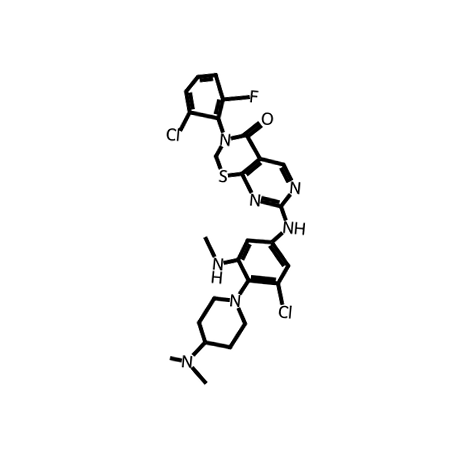 CNc1cc(Nc2ncc3c(n2)SCN(c2c(F)cccc2Cl)C3=O)cc(Cl)c1N1CCC(N(C)C)CC1